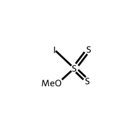 COS(=S)(=S)I